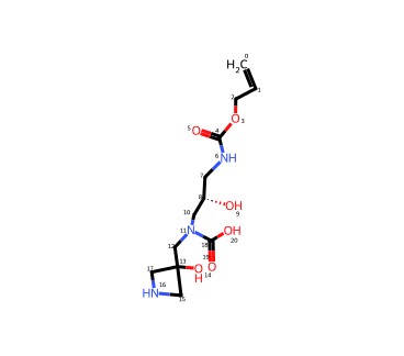 C=CCOC(=O)NC[C@H](O)CN(CC1(O)CNC1)C(=O)O